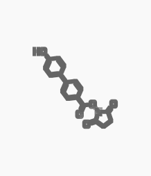 O=C(ON1C(=O)CCC1=O)c1ccc(-c2ccc(O)cc2)cc1